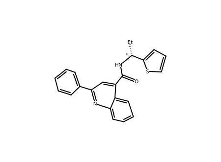 CC[C@@H](NC(=O)c1cc(-c2ccccc2)nc2ccccc12)c1cccs1